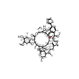 CC[C@H]1OC(=O)[C@H](C)[C@@H](O[C@H]2C[C@@](C)(OC)[C@@H](O)[C@H](C)O2)[C@H](C)[C@@H](O[C@@H]2O[C@H](C)C[C@H](N(C)CCc3cn([C@H](CF)[C@H](OC)c4ccc(-c5nncs5)cc4)nn3)C2O)[C@](C)(O)C[C@@H](C)CN(C)[C@H](C)[C@@H](O)[C@]1(C)O